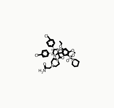 CCOc1cc(OC)c(S(=O)(=O)N2CCCCC2)cc1C1(C(=O)N2CCN(CC(N)=O)CC2)N[C@H](c2ccc(Cl)cc2)[C@H](c2ccc(Cl)cc2)N1